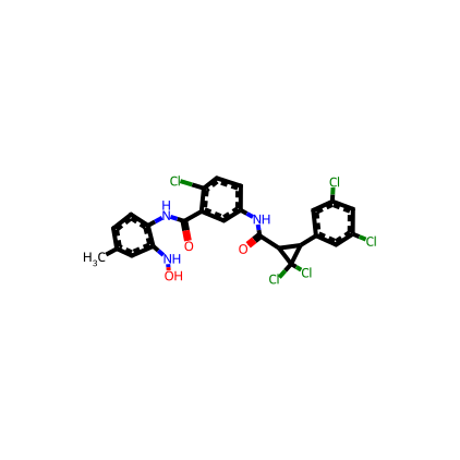 Cc1ccc(NC(=O)c2cc(NC(=O)C3C(c4cc(Cl)cc(Cl)c4)C3(Cl)Cl)ccc2Cl)c(NO)c1